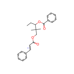 CCC(OC(=O)c1ccccc1)C(C)(C)COC(=O)/C=C/c1ccccc1